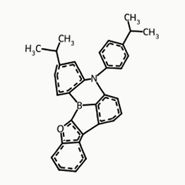 CC(C)c1ccc(N2c3cc(C(C)C)ccc3B3c4oc5ccccc5c4-c4cccc2c43)cc1